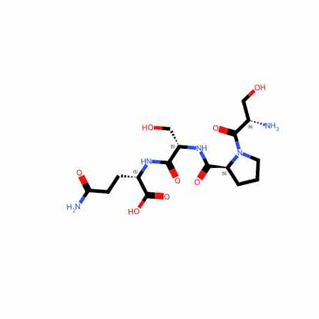 NC(=O)CC[C@H](NC(=O)[C@H](CO)NC(=O)[C@@H]1CCCN1C(=O)[C@@H](N)CO)C(=O)O